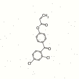 C=CC(=O)Oc1ccc(C(=O)c2ccc(Cl)cc2Cl)cc1